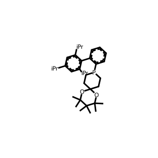 CC(C)c1cc(C(C)C)c(-c2ccccc2P2CCC3(CC2)OC(C)(C)C(C)(C)C(C)(C)O3)c(C(C)C)c1